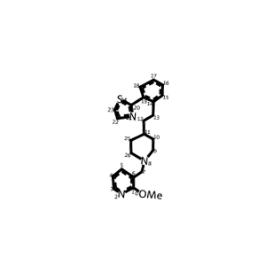 COc1ncccc1CN1CCC(CCc2ccccc2-c2nccs2)CC1